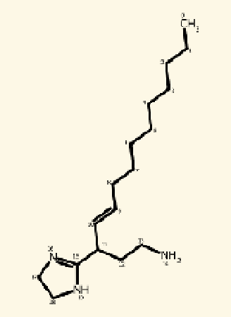 CCCCCCCCCC=CC(CCN)C1=NCCN1